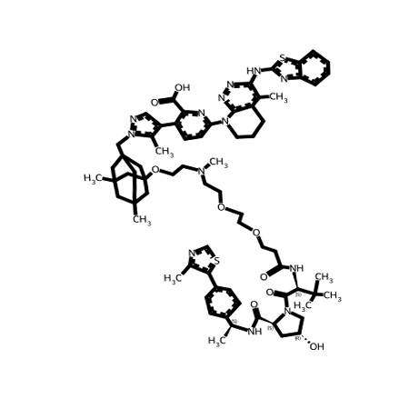 Cc1ncsc1-c1ccc([C@H](C)NC(=O)[C@@H]2C[C@@H](O)CN2C(=O)[C@@H](NC(=O)CCOCCOCCN(C)CCOC23CC4(C)CC(C)(CC(Cn5ncc(-c6ccc(N7CCCc8c7nnc(Nc7nc9ccccc9s7)c8C)nc6C(=O)O)c5C)(C4)C2)C3)C(C)(C)C)cc1